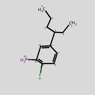 CCCC(CC)c1ccc(F)c(P)c1